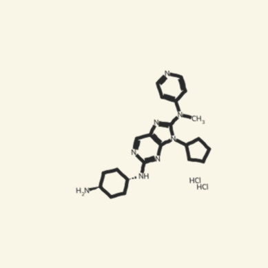 CN(c1ccncc1)c1nc2cnc(N[C@H]3CC[C@H](N)CC3)nc2n1C1CCCC1.Cl.Cl